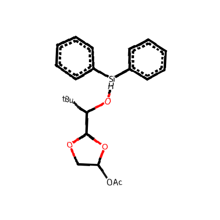 CC(=O)OC1COC(C(O[SiH](c2ccccc2)c2ccccc2)C(C)(C)C)O1